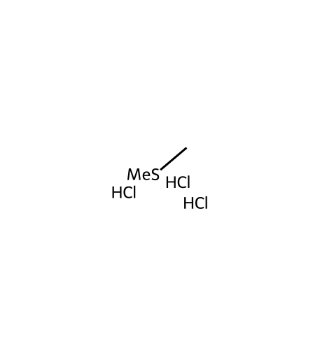 CSC.Cl.Cl.Cl